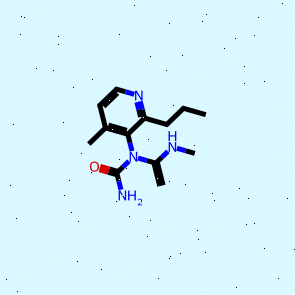 C=C(NC)N(C(N)=O)c1c(C)ccnc1CCC